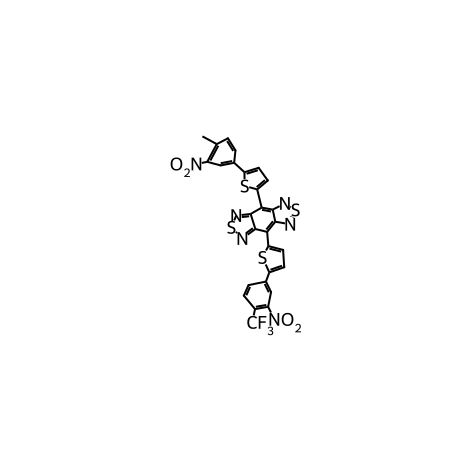 Cc1ccc(-c2ccc(-c3c4c(c(-c5ccc(-c6ccc(C(F)(F)F)c([N+](=O)[O-])c6)s5)c5nsnc35)N=S=N4)s2)cc1[N+](=O)[O-]